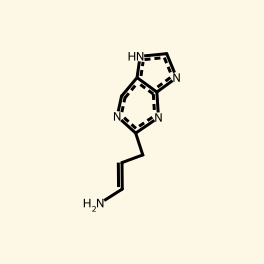 NC=CCc1ncc2[nH]cnc2n1